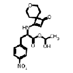 CC(O)OC(=O)C(Cc1ccc([N+](=O)[O-])cc1)NC1=CC(=O)C12CCOCC2